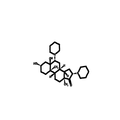 C[C@]12CC[C@H]3[C@@H](C[C@@H](N4CCCCC4)[C@@]4(O)C[C@@H](O)CC[C@]34C)[C@@H]1C[C@H](N1CCCCC1)C2=O